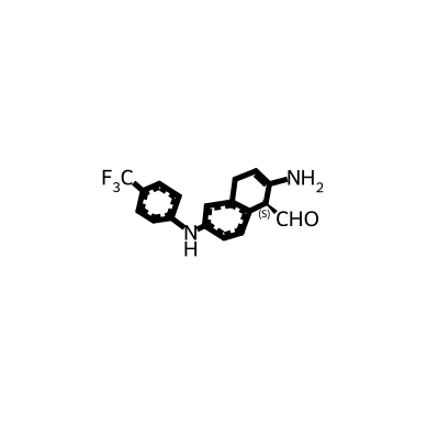 NC1=CCc2cc(Nc3ccc(C(F)(F)F)cc3)ccc2[C@@H]1C=O